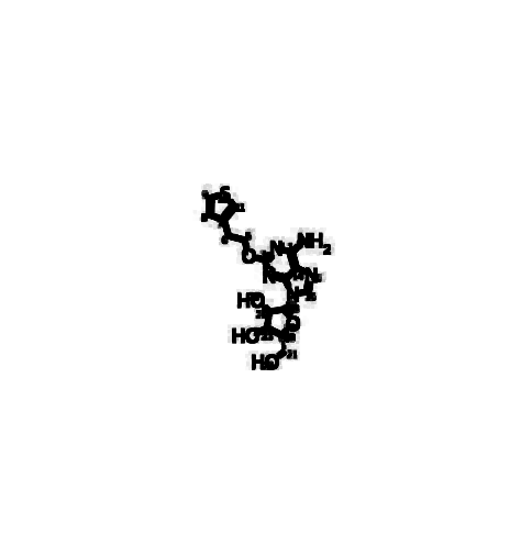 Nc1nc(OCCc2ccsc2)nc2c1ncn2[C@@H]1O[C@H](CO)C(O)C1O